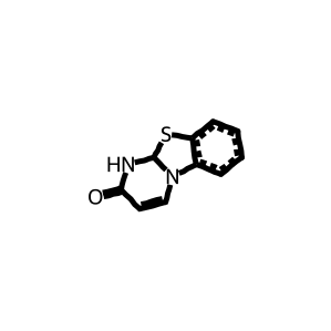 O=C1C=CN2c3ccccc3SC2N1